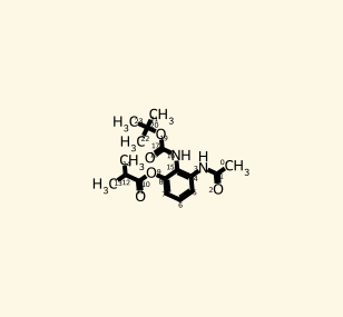 CC(=O)Nc1cccc(OC(=O)C(C)C)c1NC(=O)OC(C)(C)C